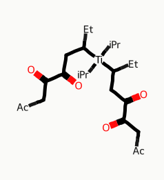 CC[CH](CC(=O)C(=O)CC(C)=O)[Ti]([CH](C)C)([CH](C)C)[CH](CC)CC(=O)C(=O)CC(C)=O